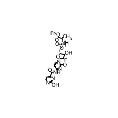 CC(C)OC(=O)C(C)N[PH](=O)OC[C@H]1O[C@@H](n2ccc(NC(=O)c3ccnc(O)n3)nc2=O)[C@H](F)[C@@H]1O